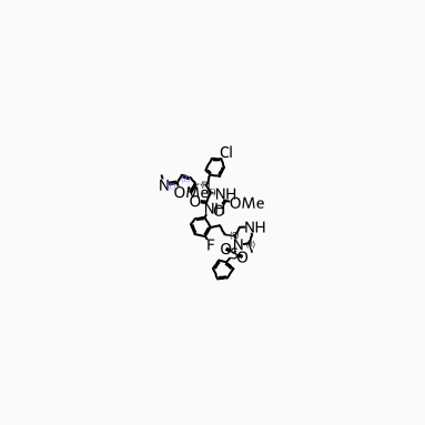 C=C(/C=C\C(=N/C)OC)[C@H](c1ccc(Cl)cc1)[C@H](NC(=O)OC)C(=O)Nc1cccc(F)c1CC[C@H]1CNC[C@@H](C)N1S(=O)(=O)c1ccccc1